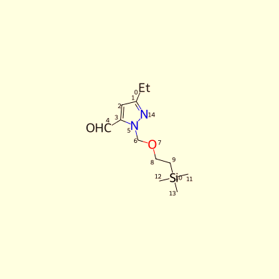 CCc1cc(C=O)n(COCC[Si](C)(C)C)n1